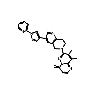 Cc1c(N2CCc3ncc(-c4cnn(-c5ccccn5)c4)cc3C2)nn2c(=O)ccnc2c1C